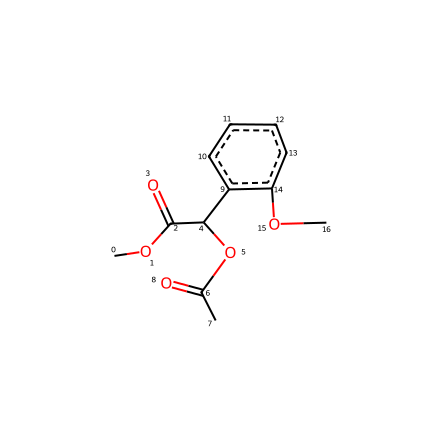 COC(=O)C(OC(C)=O)c1ccccc1OC